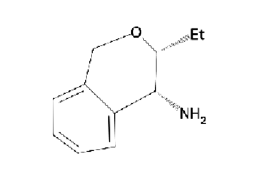 CC[C@H]1OCc2ccccc2[C@H]1N